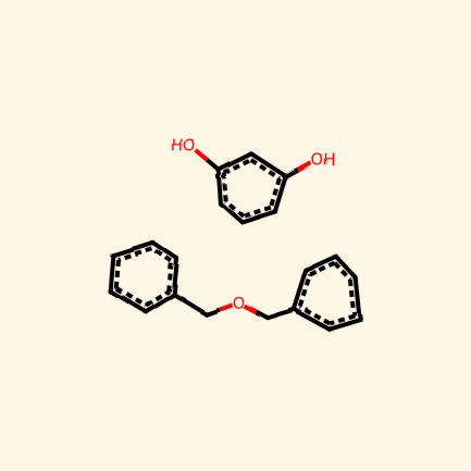 Oc1cccc(O)c1.c1ccc(COCc2ccccc2)cc1